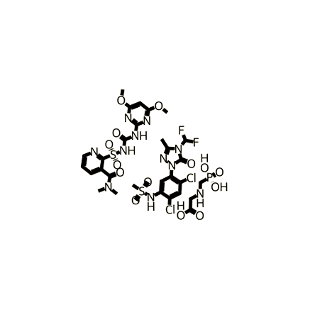 COc1cc(OC)nc(NC(=O)NS(=O)(=O)c2ncccc2C(=O)N(C)C)n1.Cc1nn(-c2cc(NS(C)(=O)=O)c(Cl)cc2Cl)c(=O)n1C(F)F.O=C(O)CNCP(=O)(O)O